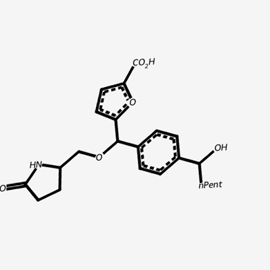 CCCCCC(O)c1ccc(C(OCC2CCC(=O)N2)c2ccc(C(=O)O)o2)cc1